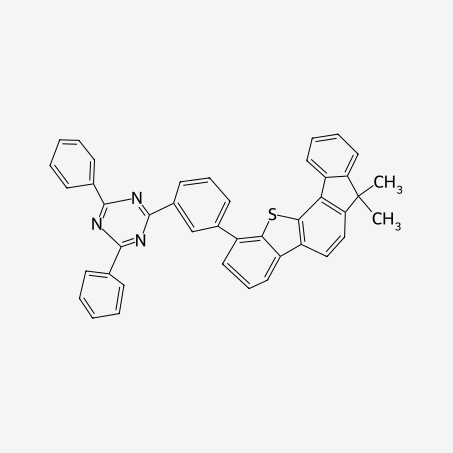 CC1(C)c2ccccc2-c2c1ccc1c2sc2c(-c3cccc(-c4nc(-c5ccccc5)nc(-c5ccccc5)n4)c3)cccc21